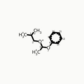 CC(C)COC(C)Oc1ccccc1